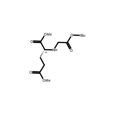 COC(=O)CC[C@@H](NCC(=O)OC(C)(C)C)C(=O)OC